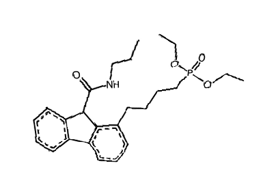 CCCNC(=O)C1c2ccccc2-c2cccc(CCCCP(=O)(OCC)OCC)c21